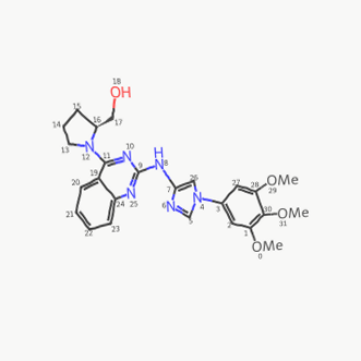 COc1cc(-n2cnc(Nc3nc(N4CCC[C@H]4CO)c4ccccc4n3)c2)cc(OC)c1OC